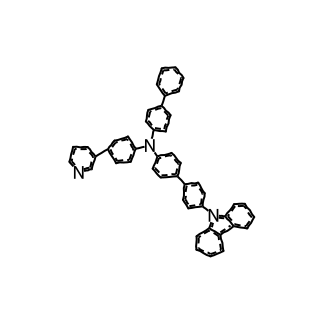 c1ccc(-c2ccc(N(c3ccc(-c4ccc(-n5c6ccccc6c6ccccc65)cc4)cc3)c3ccc(-c4cccnc4)cc3)cc2)cc1